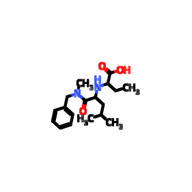 CCC(NC(CC(C)C)C(=O)N(C)Cc1ccccc1)C(=O)O